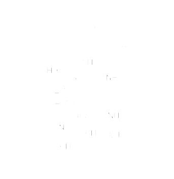 CN/C(=C(\NC1C=CCC1)C(C)(C)C)C(C)(C)NC